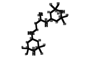 CCC(CCNC1CC(C)(C)NC(C)(C)C1)NC1CC(C)(C)NC(C)(C)C1